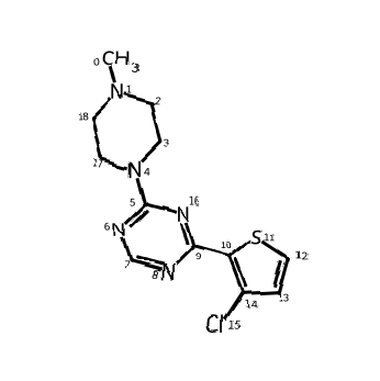 CN1CCN(c2ncnc(-c3sccc3Cl)n2)CC1